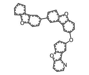 c1ccc2c(c1)oc1ccc(-c3ccc4oc5ccc(Oc6ccc7oc8cccnc8c7c6)cc5c4c3)cc12